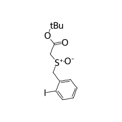 CC(C)(C)OC(=O)C[S@+]([O-])Cc1ccccc1I